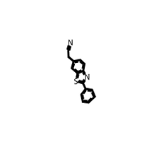 N#CCc1ccc2nc(-c3ccccc3)sc2c1